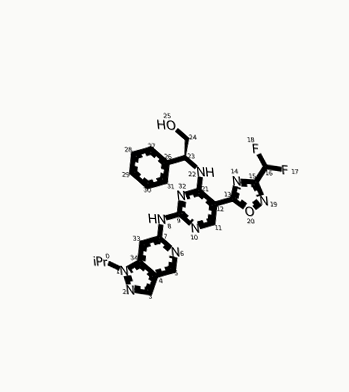 CC(C)n1ncc2cnc(Nc3ncc(-c4nc(C(F)F)no4)c(N[C@H](CO)c4ccccc4)n3)cc21